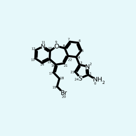 Nc1nc(C2C=CC=C3Oc4ncccc4C(=CCCBr)C=C32)cs1